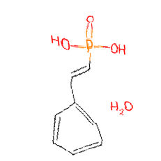 O.O=P(O)(O)C=Cc1ccccc1